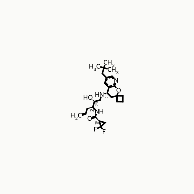 C=CC[C@H](NC(=O)[C@H]1CC1(F)F)[C@H](O)CN[C@H]1CC2(CCC2)Oc2ncc(CC(C)(C)C)cc21